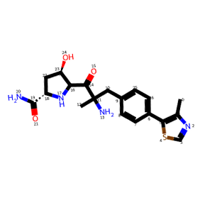 Cc1ncsc1-c1ccc(CC(C)(N)C(=O)C2N[C@H](C(N)=O)C[C@H]2O)cc1